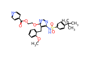 COc1ccccc1Cc1c(NS(=O)(=O)c2ccc(C(C)(C)C)cc2)ncnc1OCCOC(=O)c1ccncc1